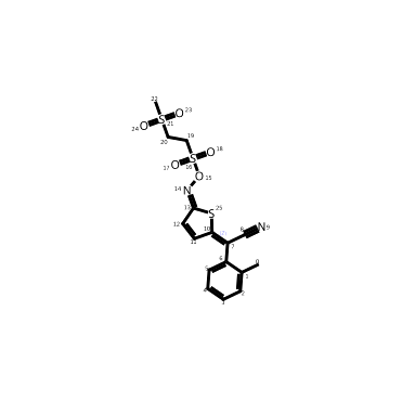 Cc1ccccc1/C(C#N)=C1\C=CC(=NOS(=O)(=O)CCS(C)(=O)=O)S1